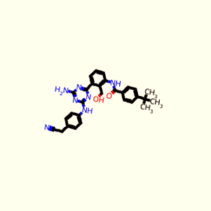 CC(C)(C)c1ccc(C(=O)Nc2cccc(-c3nc(N)nc(Nc4ccc(CC#N)cc4)n3)c2CO)cc1